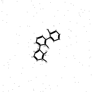 Cc1ccccc1-c1cccc(-c2cccc(C)c2C)c1C